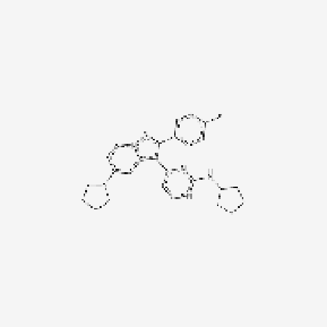 Fc1ccc(-c2nn3ccc(N4CCCC4)cc3c2-c2ccnc(NC3CCCC3)n2)cc1